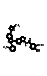 Cc1ccn(-c2ccc3nc(-c4cccnc4N)n(-c4ccc5c(c4)CC[C@@H]5NC(=O)c4ccc(O)c(C=O)c4)c3n2)n1